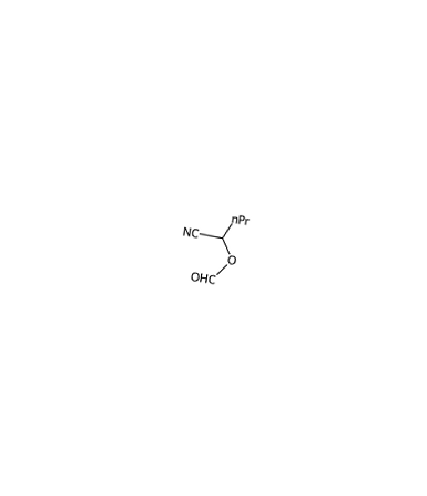 CCCC(C#N)OC=O